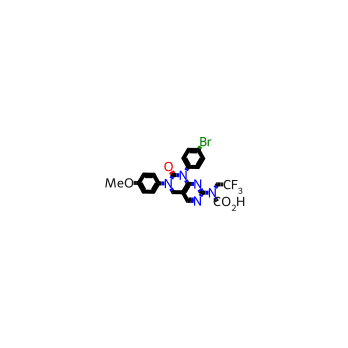 COc1ccc(N2Cc3cnc(N(CC(F)(F)F)C(=O)O)nc3N(c3ccc(Br)cc3)C2=O)cc1